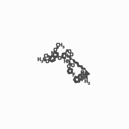 CCOc1cc(OC2C[C@@H](C=O)N(C(=O)[C@H](CCCCCCC[C@@H]3C[C@]3(N)P(=O)(O)Cc3c(F)cccc3F)NC(=O)OC3CCCC3)C2)c2ccc(OC)c(Cl)c2n1